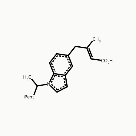 CCCC(C)C(C)n1ccc2cc(CC(C)=CC(=O)O)ccc21